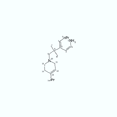 CCC/C=C(\C=C/N)C(C)(C)CN1CC=C(C(C)C)CC1